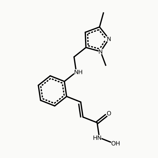 Cc1cc(CNc2ccccc2C=CC(=O)NO)n(C)n1